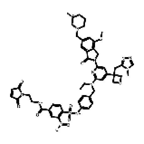 CCN(Cc1ccc(NS(=O)(=O)c2ccc(C(=O)NCCN3C(=O)C=CC3=O)cc2[N+](=O)[O-])cc1)c1cc(C2(Cc3nncn3C)COC2)cc(N2Cc3c(SC)cc(CN4CCC[C@H](C)C4)cc3C2=O)n1